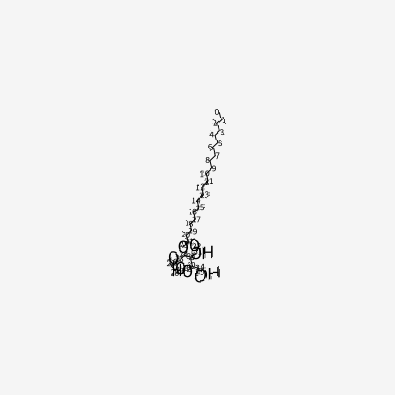 CCCCCCCCCCCCCCCCCCCCCC(=O)O[C@@H](C1OCCO1)[C@@H](O)[C@H](O)CO